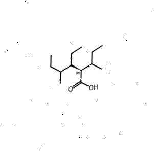 CCC(C)C(CC)[C@H](C(=O)O)C(C)CC